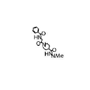 CNNC(=O)C1CCN(C(=O)CNC(=O)c2ccccc2)CC1